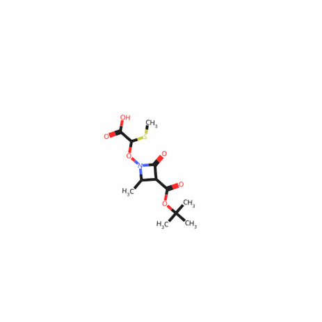 CSC(ON1C(=O)C(C(=O)OC(C)(C)C)C1C)C(=O)O